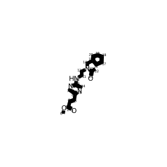 COC(=O)/C=C/c1cnc(NCCN(Cc2ccccc2)C(C)=O)cn1